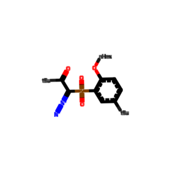 CCCCCCOc1ccc(C(C)(C)C)cc1S(=O)(=O)C(=[N+]=[N-])C(=O)C(C)(C)C